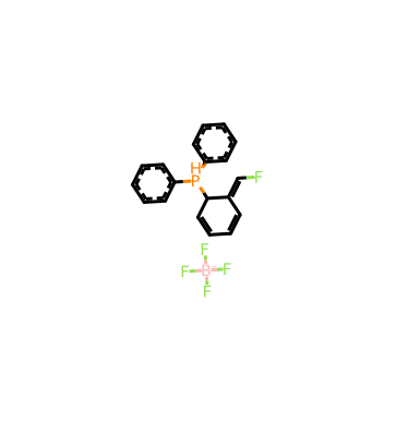 FC=C1C=CC=CC1[PH+](c1ccccc1)c1ccccc1.F[B-](F)(F)F